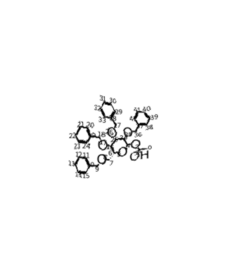 CC(O)OC1O[C@H](COCc2ccccc2)[C@@H](OCc2ccccc2)[C@H](OCc2ccccc2)[C@@H]1OCc1ccccc1